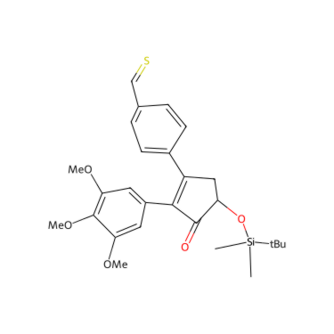 COc1cc(C2=C(c3ccc(C=S)cc3)CC(O[Si](C)(C)C(C)(C)C)C2=O)cc(OC)c1OC